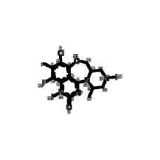 Cc1c(Cl)c2c3c(nc(=O)n(I)c3c1F)N1C(C)CN(I)CC1CO2